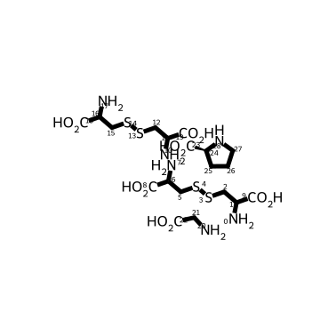 NC(CSSCC(N)C(=O)O)C(=O)O.NC(CSSCC(N)C(=O)O)C(=O)O.NCC(=O)O.O=C(O)[C@@H]1CCCN1